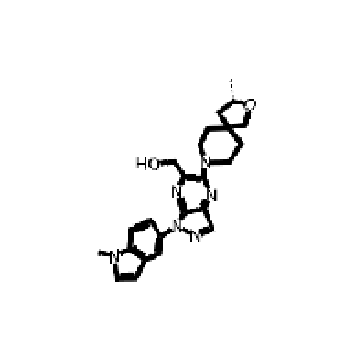 C[C@H]1CC2(CCN(c3nc4cnn(-c5ccc6c(ccn6C)c5)c4nc3CO)CC2)CO1